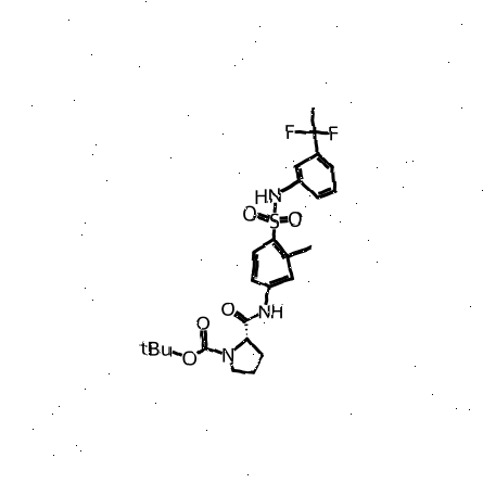 Cc1cc(NC(=O)[C@@H]2CCCN2C(=O)OC(C)(C)C)ccc1S(=O)(=O)Nc1cccc(C(C)(F)F)c1